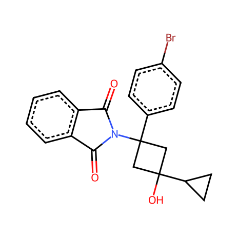 O=C1c2ccccc2C(=O)N1C1(c2ccc(Br)cc2)CC(O)(C2CC2)C1